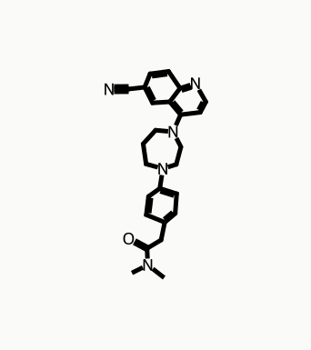 CN(C)C(=O)Cc1ccc(N2CCCN(c3ccnc4ccc(C#N)cc34)CC2)cc1